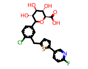 O=C(O)[C@H]1OC(c2ccc(Cl)c(Cc3ccc(-c4ccc(F)nc4)s3)c2)[C@H](O)[C@@H](O)[C@@H]1O